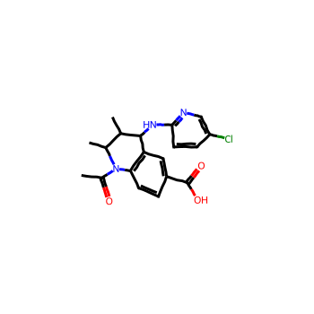 CC(=O)N1c2ccc(C(=O)O)cc2C(Nc2ccc(Cl)cn2)C(C)C1C